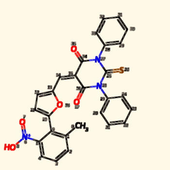 Cc1cccc([N+](=O)O)c1-c1ccc(C=C2C(=O)N(c3ccccc3)C(=S)N(c3ccccc3)C2=O)o1